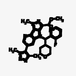 COC(=O)c1nn(C)c2c3ncc(-c4c(C)nnn4C)cc3n(C(c3ncccc3F)C3CCOCC3)c12